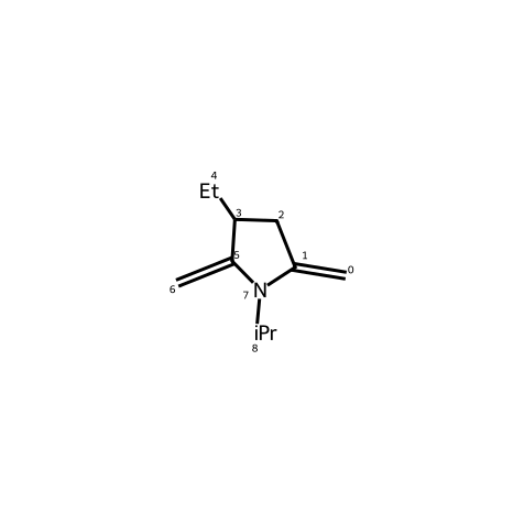 C=C1CC(CC)C(=C)N1C(C)C